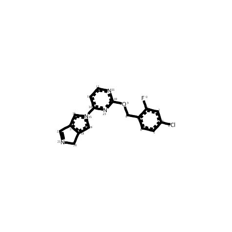 Fc1cc(Cl)ccc1COc1nccc(-n2cc3c(c2)CN=C3)n1